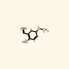 COC1C=CC(O)=C(C=N)C1